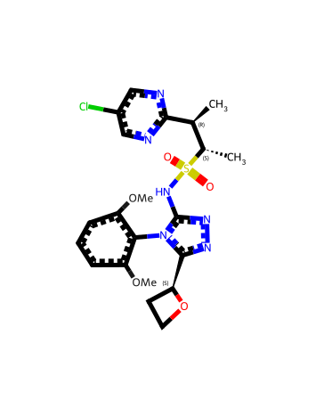 COc1cccc(OC)c1-n1c(NS(=O)(=O)[C@@H](C)[C@H](C)c2ncc(Cl)cn2)nnc1[C@@H]1CCO1